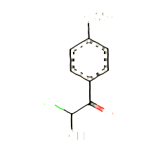 COc1ccc(C(=O)C(C)Cl)cc1